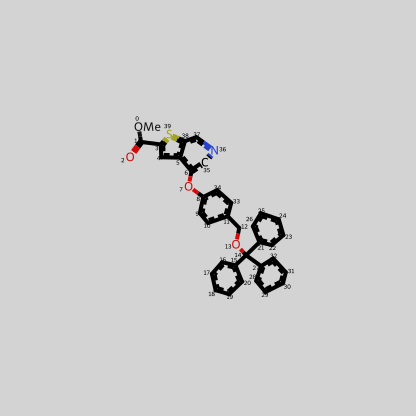 COC(=O)c1cc2c(Oc3ccc(COC(c4ccccc4)(c4ccccc4)c4ccccc4)cc3)cncc2s1